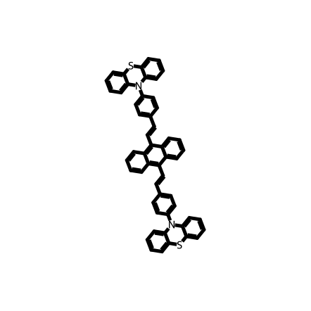 C(=Cc1c2ccccc2c(C=Cc2ccc(N3c4ccccc4Sc4ccccc43)cc2)c2ccccc12)c1ccc(N2c3ccccc3Sc3ccccc32)cc1